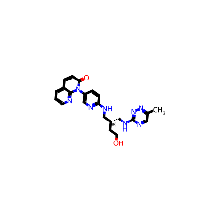 Cc1cnc(NC[C@H](CCO)CNc2ccc(-n3c(=O)ccc4cccnc43)cn2)nn1